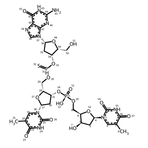 Cc1cn([C@H]2C[C@@H](O)[C@@H](COP(=O)(O)O[C@@H]3C[C@H](n4cc(C)c(=O)[nH]c4=O)O[C@@H]3CO[PH](=S)O[C@@H]3C[C@H](n4cnc5c(=O)[nH]c(N)nc54)O[C@@H]3CO)O2)c(=O)[nH]c1=O